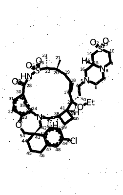 CCO[C@]1(CCN2CCN3CCS(=O)(=O)C[C@H]3C2)/C=C/C[C@H](C)[C@@H](C)S(=O)(=O)NC(=O)c2ccc3c(c2)N(C[C@@H]2CC[C@H]21)C[C@@]1(CCCc2cc(Cl)ccc21)CO3